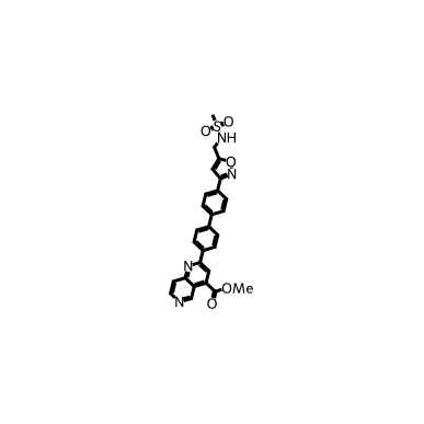 COC(=O)c1cc(-c2ccc(-c3ccc(-c4cc(CNS(C)(=O)=O)on4)cc3)cc2)nc2ccncc12